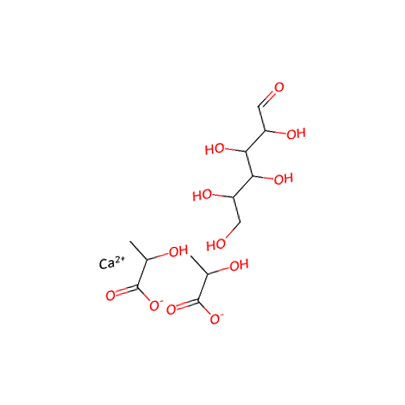 CC(O)C(=O)[O-].CC(O)C(=O)[O-].O=CC(O)C(O)C(O)C(O)CO.[Ca+2]